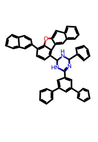 c1ccc(-c2cc(C3=NC(c4ccccc4)NC(c4ccc(-c5ccc6ccccc6c5)c5oc6cc7ccccc7cc6c45)N3)cc(-c3ccccc3)c2)cc1